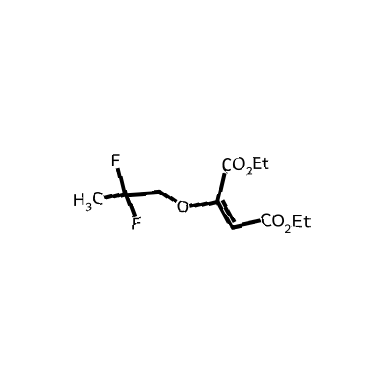 CCOC(=O)/C=C(/OCC(C)(F)F)C(=O)OCC